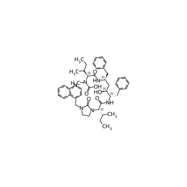 CCC(C)[C@@H](C(=O)N[C@@H](Cc1ccccc1)C[C@H](O)[C@H](Cc1ccccc1)NC(=O)[C@H](C(C)CC)N1CCN(Cc2ccnc3ccccc23)C1=O)N(C)C(=O)O